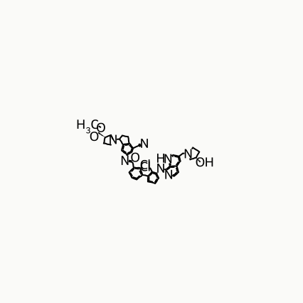 COC(=O)[C@@H]1CCN(C2CCc3c2cc2nc(-c4cccc(-c5cccc(Nc6nccc7cc(CN8CC[C@@H](O)C8)cnc67)c5Cl)c4Cl)oc2c3C#N)C1